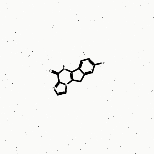 O=c1[nH]c2c(n3ccnc13)Cc1cc(Br)ccc1-2